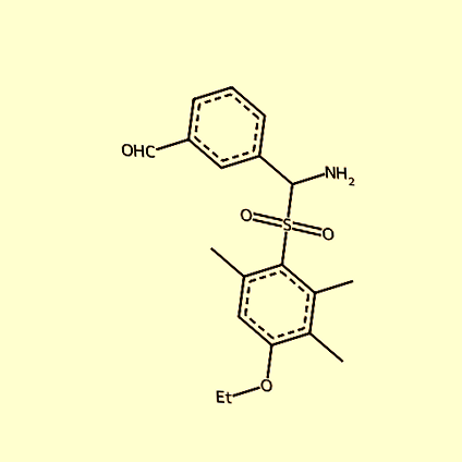 CCOc1cc(C)c(S(=O)(=O)C(N)c2cccc(C=O)c2)c(C)c1C